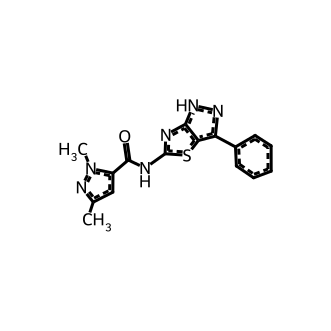 Cc1cc(C(=O)Nc2nc3[nH]nc(-c4ccccc4)c3s2)n(C)n1